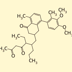 CCCC(CC1CC(=O)c2c(C)ccc(-c3ccc(OC)c(OC)c3C)c2C1)C(CC)C(=O)CC(C)=O